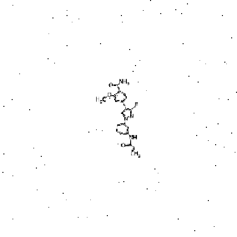 C=CC(=O)Nc1cccc(-n2cc(-c3ccc(C(N)=O)c(OC)c3)c(F)n2)c1